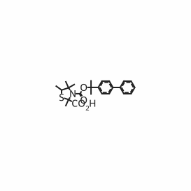 CC1SC(C)(C(=O)O)N(C(=O)OC(C)(C)c2ccc(-c3ccccc3)cc2)C1(C)C